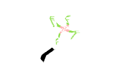 C=C.F[B-](F)(F)F